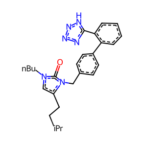 CCCCn1cc(CCC(C)C)n(Cc2ccc(-c3ccccc3-c3nnn[nH]3)cc2)c1=O